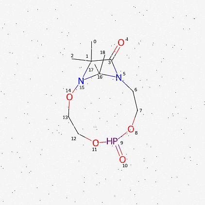 CC1(C)C(=O)N2CCO[PH](=O)OCCON1C2(C)C